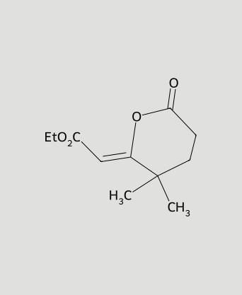 CCOC(=O)C=C1OC(=O)CCC1(C)C